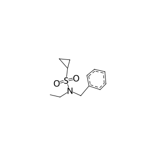 CCN(Cc1ccccc1)S(=O)(=O)C1CC1